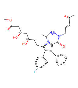 COC(=O)C[C@H](O)C[C@H](O)CCc1c(-c2ccc(F)cc2)c(-c2ccccc2)c(C(=O)N(N)CC=CC(C)=O)n1C(C)C